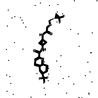 O=C(COC[C@@H]1CC1(F)F)NC12CC(NC(=O)c3ccc4cc(C(F)(F)F)ccc4n3)(C1)C2